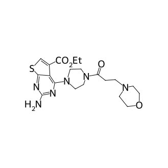 CCOC(=O)c1csc2nc(N)nc(N3CCN(C(=O)CCN4CCOCC4)CC3)c12